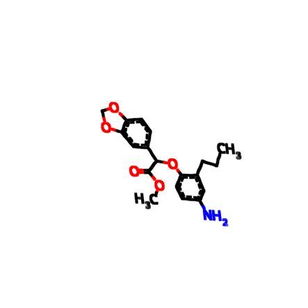 CCCc1cc(N)ccc1OC(C(=O)OC)c1ccc2c(c1)OCO2